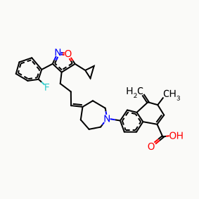 C=C1c2cc(N3CCC/C(=C/CCc4c(-c5ccccc5F)noc4C4CC4)CC3)ccc2C(C(=O)O)=CC1C